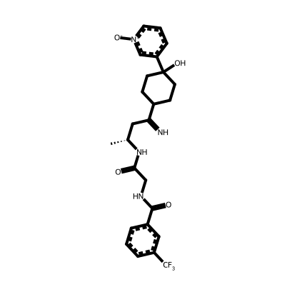 C[C@H](CC(=N)C1CCC(O)(c2ccc[n+]([O-])c2)CC1)NC(=O)CNC(=O)c1cccc(C(F)(F)F)c1